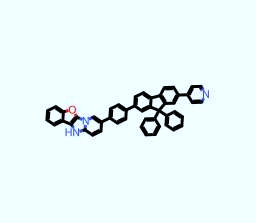 C1=CC2Nc3c(oc4ccccc34)N2C=C1c1ccc(-c2ccc3c(c2)C(c2ccccc2)(c2ccccc2)c2cc(-c4ccncc4)ccc2-3)cc1